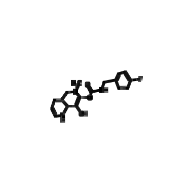 CN1CC2=CC=CNC2C(O)=C1OC(=O)NCc1ccc(F)cc1